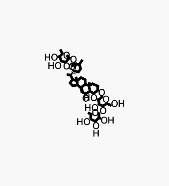 CC1OC(OC2C(CO)OC(OC3CCC4(C)C(C3)C(=O)C=C3C4CCC4(C)C3CCC4C(C)[C@@H]3CCC(C)[C@H](OC4OC(C)C(O)C(O)C4O)O3)C(O)C2O)C(O)C(O)C1O